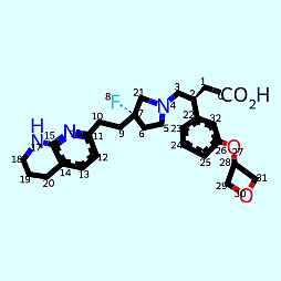 O=C(O)C[C@H](CN1CC[C@@](F)(CCc2ccc3c(n2)NCCC3)C1)c1cccc(OC2COC2)c1